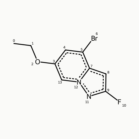 CCOc1cc(Br)c2cc(F)nn2c1